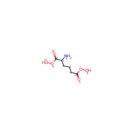 NC(CCCC(=O)OO)C(=O)OO